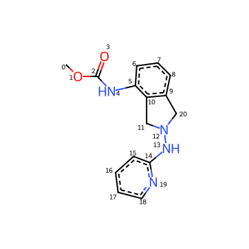 COC(=O)Nc1cccc2c1CN(Nc1ccccn1)C2